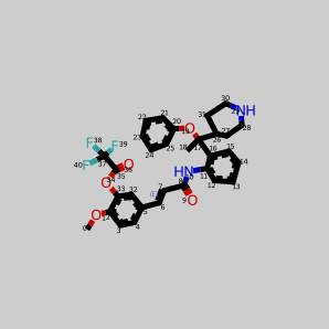 COc1ccc(/C=C/C(=O)Nc2ccccc2C(C)(Oc2ccccc2)C2CCNCC2)cc1OC(=O)C(F)(F)F